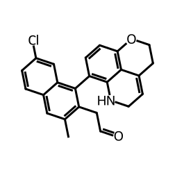 Cc1cc2ccc(Cl)cc2c(-c2ccc3c4c2NCC=C4CCO3)c1CC=O